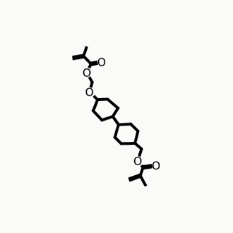 C=C(C)C(=O)OCOC1CCC(C2CCC(COC(=O)C(=C)C)CC2)CC1